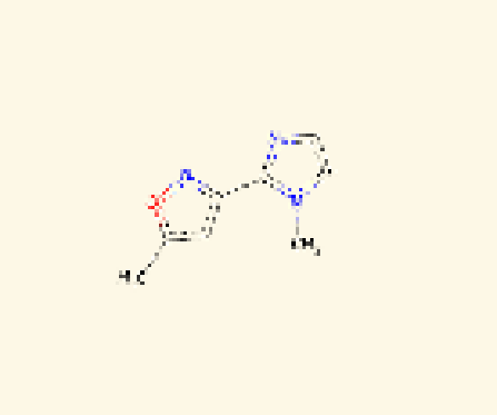 Cc1cc(-c2nc[c]n2C)no1